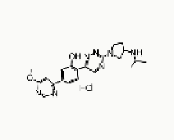 COc1cc(-c2ccc(-c3cnc(N4CCC(NC(C)C)C4)nn3)c(O)c2)ncn1.Cl